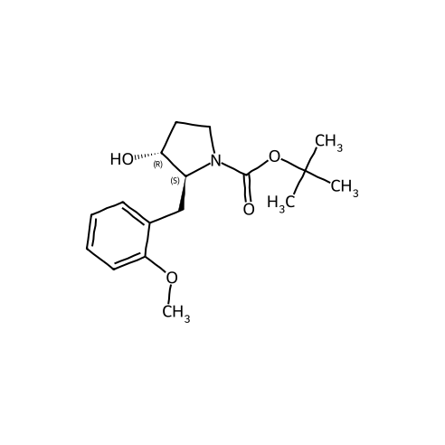 COc1ccccc1C[C@H]1[C@H](O)CCN1C(=O)OC(C)(C)C